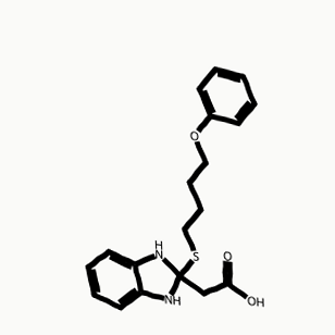 O=C(O)CC1(SCCCCOc2ccccc2)Nc2ccccc2N1